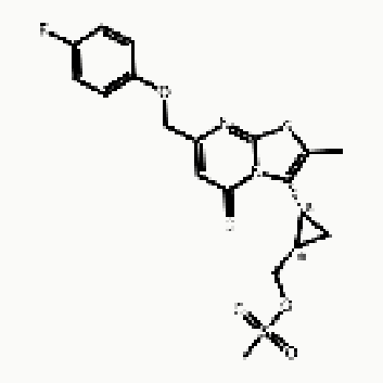 Cc1sc2nc(COc3ccc(F)cc3)cc(=O)n2c1[C@@H]1C[C@H]1COS(C)(=O)=O